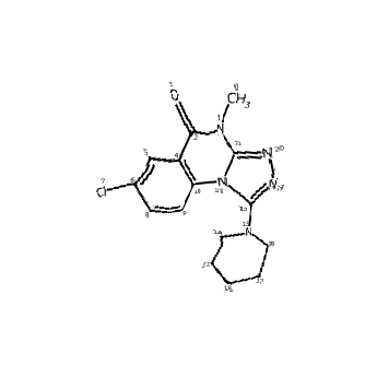 Cn1c(=O)c2cc(Cl)ccc2n2c(N3CCCCC3)nnc12